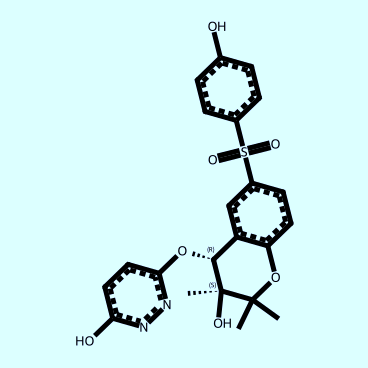 CC1(C)Oc2ccc(S(=O)(=O)c3ccc(O)cc3)cc2[C@@H](Oc2ccc(O)nn2)[C@]1(C)O